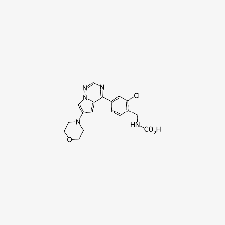 O=C(O)NCc1ccc(-c2ncnn3cc(N4CCOCC4)cc23)cc1Cl